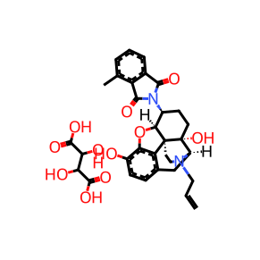 C=CCN1CC[C@]23c4c5ccc(O)c4O[C@H]2[C@@H](N2C(=O)c4cccc(C)c4C2=O)CC[C@@]3(O)[C@H]1C5.O=C(O)C(O)C(O)C(=O)O